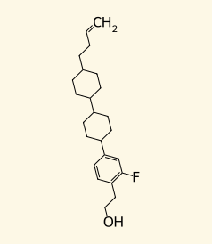 C=CCCC1CCC(C2CCC(c3ccc(CCO)c(F)c3)CC2)CC1